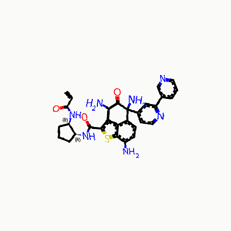 C=CC(=O)N[C@@H]1CCC[C@H]1NC(=O)c1sc2c(N)ccc3c2c1C(N)C(=O)C3(N)c1ccnc(-c2cccnc2)c1